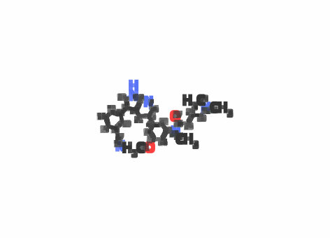 COc1cc(-c2cnc3[nH]cc(-c4cccc(C#N)c4)c3c2)cc(N(C)C(=O)/C=C/CN(C)C)c1